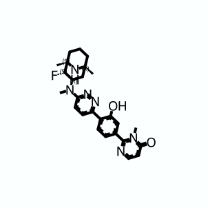 CN(c1ccc(-c2ccc(-c3nccc(=O)n3C)cc2O)nn1)[C@@H]1C[C@@]2(C)CCC[C@](C)(N2)[C@H]1F